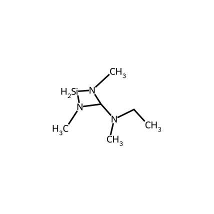 CCN(C)C1N(C)[SiH2]N1C